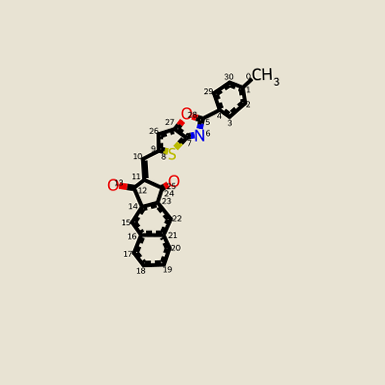 Cc1ccc(-c2nc3sc(C=C4C(=O)c5cc6ccccc6cc5C4=O)cc3o2)cc1